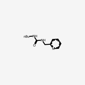 CCCCNC(=O)NCc1ccccn1